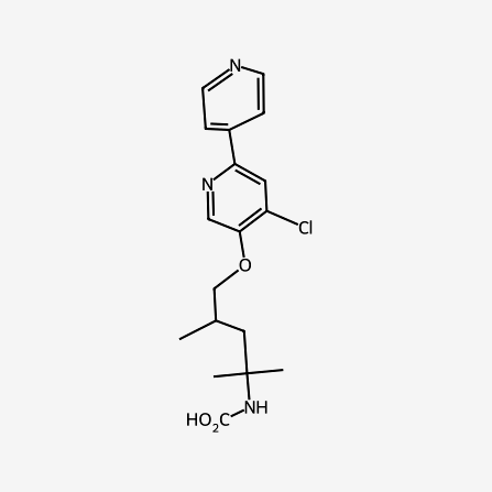 CC(COc1cnc(-c2ccncc2)cc1Cl)CC(C)(C)NC(=O)O